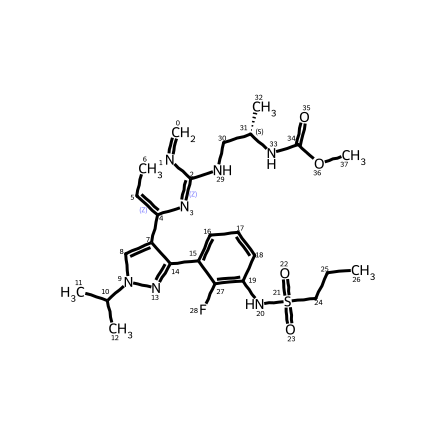 C=N/C(=N\C(=C/C)c1cn(C(C)C)nc1-c1cccc(NS(=O)(=O)CCC)c1F)NC[C@H](C)NC(=O)OC